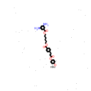 CCCCOc1ccc(OC(=O)/C=C/c2ccc(C(=O)OCCCCCCOC(=O)c3cc(N)cc(N)c3)cc2)cc1